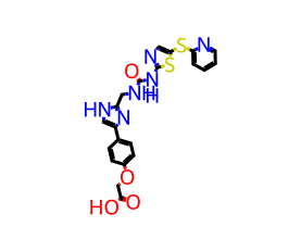 O=C(O)COc1ccc(-c2c[nH]c(CNC(=O)Nc3ncc(Sc4ccccn4)s3)n2)cc1